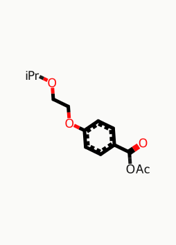 CC(=O)OC(=O)c1ccc(OCCOC(C)C)cc1